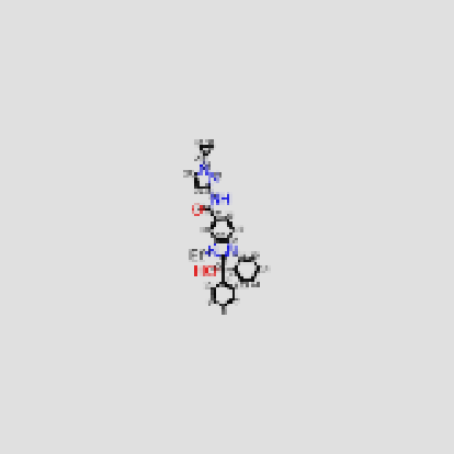 CCn1c(C(O)(c2ccccc2)c2ccccc2)nc2ccc(C(=O)Nc3ccn(C4CC4)n3)cc21